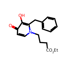 CCOC(=O)CCCn1ccc(=O)c(O)c1Cc1ccccc1